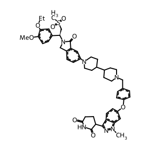 CCOc1cc([C@@H](CS(C)(=O)=O)N2Cc3ccc(N4CCC(C5CCN(Cc6ccc(Oc7ccc8c(C9CCC(=O)NC9=O)nn(C)c8c7)cc6)CC5)CC4)cc3C2=O)ccc1OC